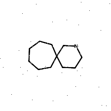 C1CCCC2(CC1)CCC[N]C2